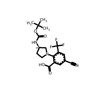 CC(C)(C)OC(=O)N[C@@H]1CCN(c2c(C(=O)O)cc(C#N)cc2C(F)(F)F)C1